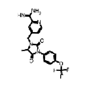 CC1C(=O)N(c2ccc(OC(F)(F)F)cc2)C(=O)N1Cc1ccnc(C(=N)N)c1